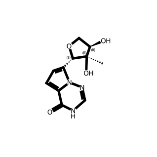 C[C@@]1(O)[C@H](O)CO[C@H]1c1ccc2c(=O)[nH]cnn12